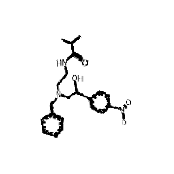 CC(C)C(=O)NCCN(Cc1ccccc1)CC(O)c1ccc([N+](=O)[O-])cc1